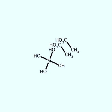 CC(=O)O.CC(=O)O.O[Si](O)(O)O